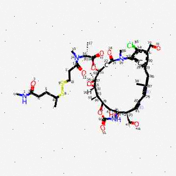 CNC(=O)CCC(C)SSCCC(=O)N(C)[C@H](C)C(=O)O[C@H]1CC(=O)N(C)c2cc(cc(C=O)c2Cl)C/C(C)=C/C=C/[C@@H](C=O)[C@@]2(O)CC(OC(=O)N2)[C@@H](C)[C@@H]2O[C@@]12C